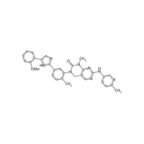 COc1ccccc1-c1cnc(-c2ccc(C)c(N3Cc4cnc(Nc5ccc(C)nc5)nc4N(C)C3=O)c2)[nH]1